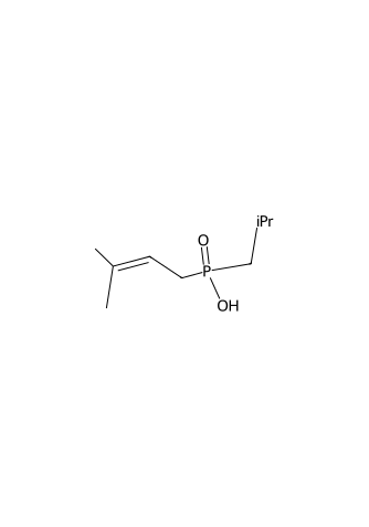 CC(C)=CCP(=O)(O)CC(C)C